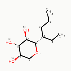 CCCC(CC)[C@@H]1OC[C@@H](O)[C@H](O)[C@H]1O